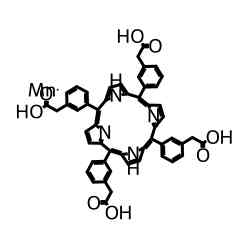 O=C(O)Cc1cccc(-c2c3nc(c(-c4cccc(CC(=O)O)c4)c4ccc([nH]4)c(-c4cccc(CC(=O)O)c4)c4nc(c(-c5cccc(CC(=O)O)c5)c5ccc2[nH]5)C=C4)C=C3)c1.[Mn]